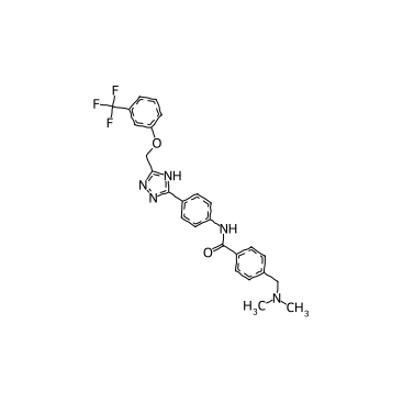 CN(C)Cc1ccc(C(=O)Nc2ccc(-c3nnc(COc4cccc(C(F)(F)F)c4)[nH]3)cc2)cc1